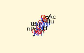 C=CCNC(=O)C(=O)C(CCC)NC(=O)[C@@H]1[C@@H]2[C@H](CN1C(=O)[C@@H](NC(=O)N[C@H](CN(C)S(=O)(=O)c1ccc(C(C)=O)cc1)C(C)(C)C)C(C)(C)C)C2(C)C